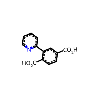 O=C(O)c1ccc(C(=O)O)c(-c2ccccn2)c1